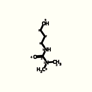 CN(C)C(=O)NCCCO